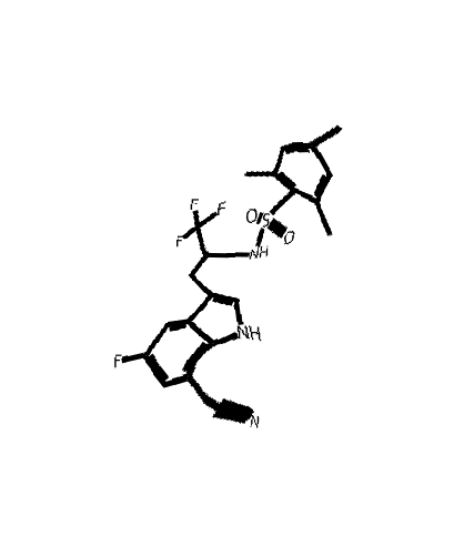 Cc1cc(C)c(S(=O)(=O)NC(Cc2c[nH]c3c(C#N)cc(F)cc23)C(F)(F)F)c(C)c1